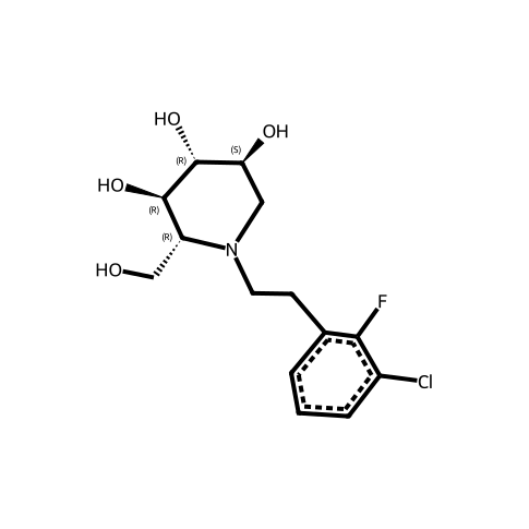 OC[C@@H]1[C@@H](O)[C@H](O)[C@@H](O)CN1CCc1cccc(Cl)c1F